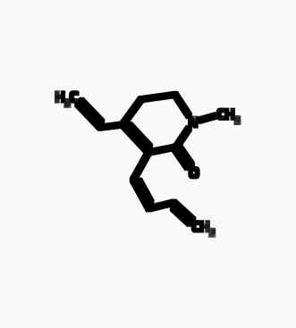 C=C/C=C\C1=C(C=C)CCN(C)C1=O